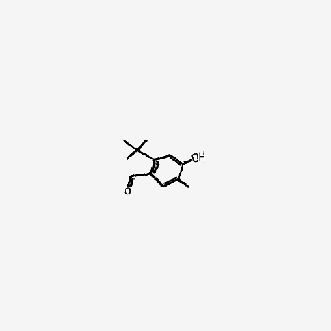 Cc1cc(C=O)c(C(C)(C)C)cc1O